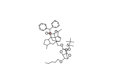 CCCCCOC1C2OC3(OCC45CC6C(C)CCC6C6(C=O)CC4C=C(C(C)C)C65C(=O)OC(c4ccccc4)c4ccccc4)OC2OC1C3O[Si](C)(C)C(C)(C)C